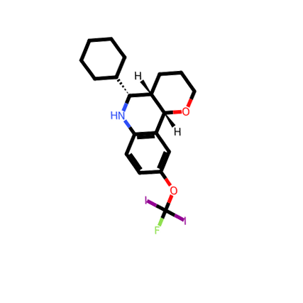 FC(I)(I)Oc1ccc2c(c1)[C@H]1OCCC[C@H]1[C@@H](C1CCCCC1)N2